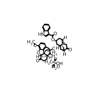 COc1ccc2c3c1O[C@H]1C(=O)CC[C@H]4[C@@H](C2)N(C)CC[C@]314.CS(=O)(=O)O.O.O=C(O[C@@H]1C[C@@H]2C[C@@H]3C[C@H](C1)N2CC3=O)c1c[nH]c2ccccc12